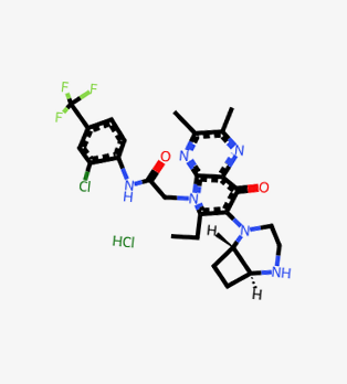 CCc1c(N2CCN[C@H]3CC[C@@H]32)c(=O)c2nc(C)c(C)nc2n1CC(=O)Nc1ccc(C(F)(F)F)cc1Cl.Cl